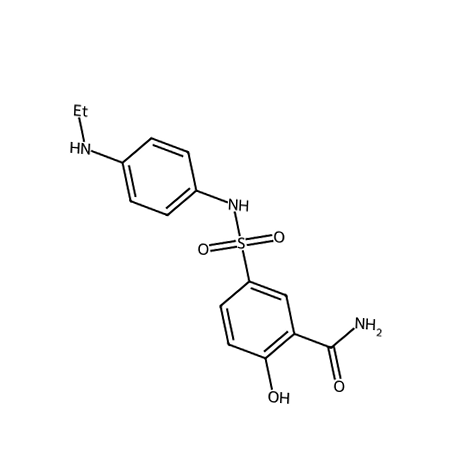 CCNc1ccc(NS(=O)(=O)c2ccc(O)c(C(N)=O)c2)cc1